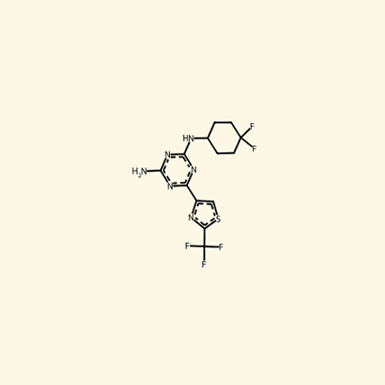 Nc1nc(NC2CCC(F)(F)CC2)nc(-c2csc(C(F)(F)F)n2)n1